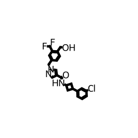 O=C(NC1CC(c2cccc(Cl)c2)C1)c1cnn(Cc2ccc(CO)c(C(F)F)c2)c1